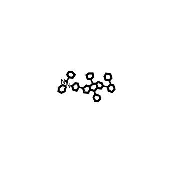 c1ccc(-c2ccccc2-c2ccc3c(-c4ccccc4)c4cc(-c5ccc(-n6c(-c7ccccc7)nc7ccccc76)cc5)ccc4c(-c4ccccc4)c3c2)cc1